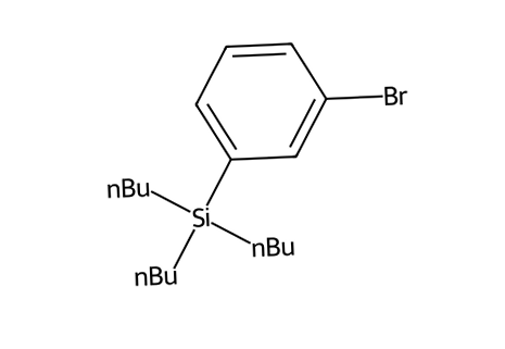 CCCC[Si](CCCC)(CCCC)c1cccc(Br)c1